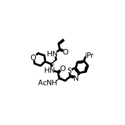 C=CC(=O)NC[C@@H](NC(=O)[C@H](Cc1nc2ccc(C(C)C)cc2s1)NC(C)=O)C1CCOCC1